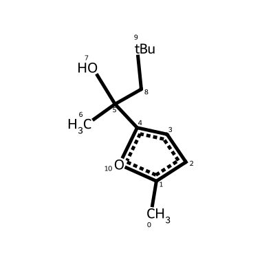 Cc1ccc(C(C)(O)CC(C)(C)C)o1